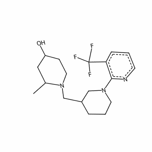 CC1CC(O)CCN1CC1CCCN(c2ncccc2C(F)(F)F)C1